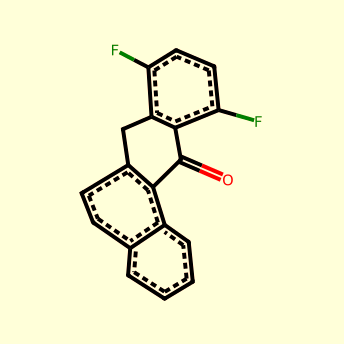 O=C1c2c(F)ccc(F)c2Cc2ccc3ccccc3c21